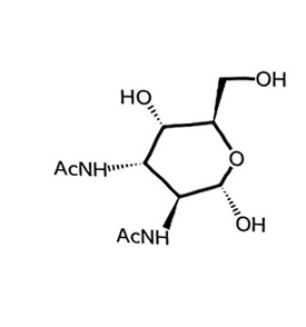 CC(=O)N[C@@H]1[C@H](O)[C@@H](CO)O[C@H](O)[C@H]1NC(C)=O